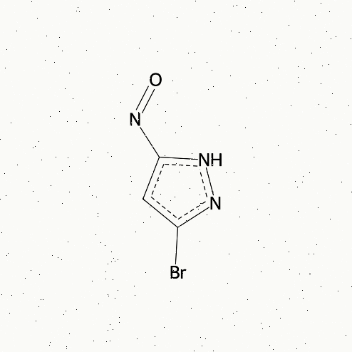 O=Nc1cc(Br)n[nH]1